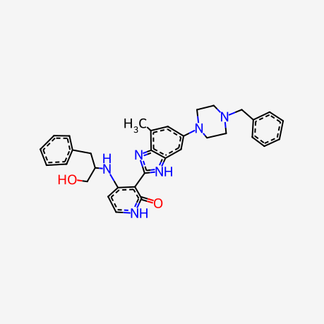 Cc1cc(N2CCN(Cc3ccccc3)CC2)cc2[nH]c(-c3c(NC(CO)Cc4ccccc4)cc[nH]c3=O)nc12